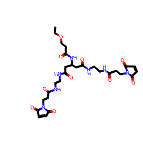 CCOCCC(=O)NC(CC(=O)NCCNC(=O)CCN1C(=O)C=CC1=O)CC(=O)NCCNC(=O)CCN1C(=O)C=CC1=O